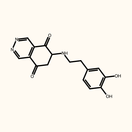 O=C1CC(NCCc2ccc(O)c(O)c2)C(=O)c2cnncc21